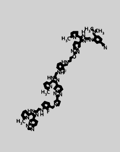 Cc1cccc(-c2[nH]c(CNc3cc(C#N)ccc3CN(C)C)nc2-c2ccc3nc(OCCNCc4cccc(NCc5nc(-c6ccc7nc(C8CCN(Cc9cccc(NCc%10nc(-c%11ccc%12ncnn%12c%11)c(-c%11cccc(C)n%11)[nH]%10)c9F)C8)nn7c6)c(-c6cccc(C)n6)[nH]5)c4F)nn3c2)n1